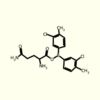 Cc1ccc(B(OC(=O)C(N)CCC(N)=O)c2ccc(C)c(Cl)c2)cc1Cl